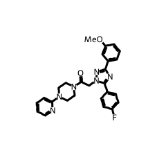 COc1cccc(-c2nc(-c3ccc(F)cc3)n(CC(=O)N3CCN(c4ccccn4)CC3)n2)c1